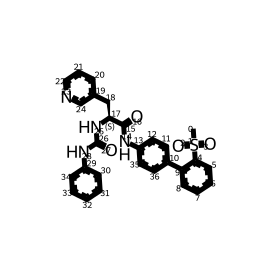 CS(=O)(=O)c1ccccc1-c1ccc(NC(=O)[C@H](Cc2cccnc2)NC(=O)Nc2ccccc2)cc1